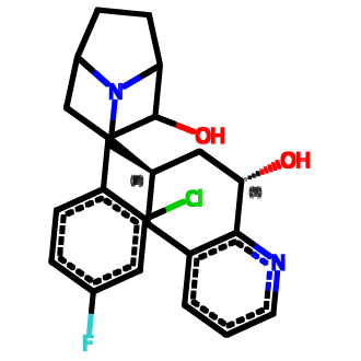 OC1C(c2ccc(F)cc2Cl)CC2CCC1N2C[C@@H]1Cc2cccnc2[C@@H](O)C1